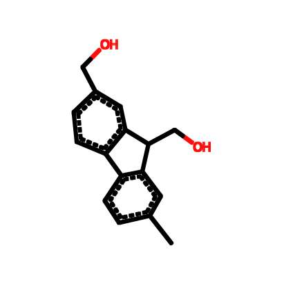 Cc1ccc2c(c1)C(CO)c1cc(CO)ccc1-2